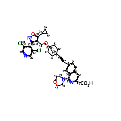 O=C(O)c1cc2ccc(C#CC34CCC(OCc5c(-c6c(Cl)cncc6Cl)noc5C5CC5)(CC3)CC4)cc2c(N2CCOCC2)n1